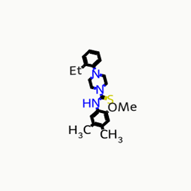 CCc1ccccc1N1CCN(C(=S)Nc2cc(C)c(C)cc2OC)CC1